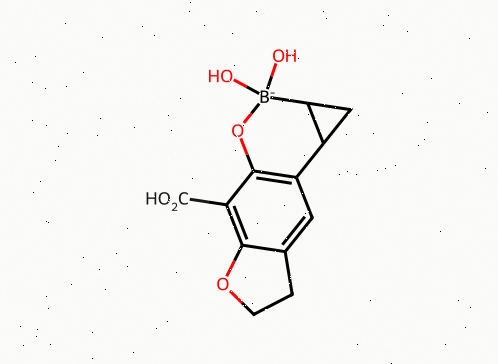 O=C(O)c1c2c(cc3c1O[B-](O)(O)C1CC31)CCO2